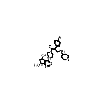 CC1C[C@@H](O)c2ncnc(N3CCN(C(=O)C(CNC4CCOCC4)c4ccc(Br)cc4)CC3)c21